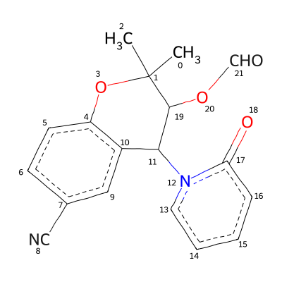 CC1(C)Oc2ccc(C#N)cc2C(n2ccccc2=O)C1OC=O